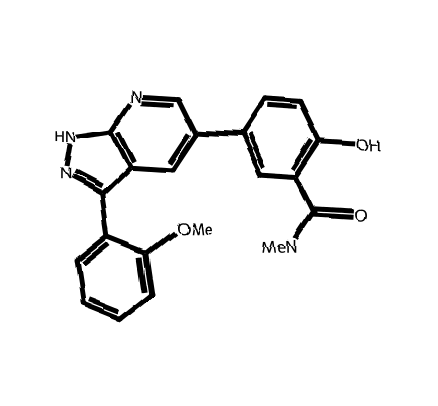 CNC(=O)c1cc(-c2cnc3[nH]nc(-c4ccccc4OC)c3c2)ccc1O